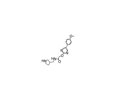 COc1ccc(-c2cnc(OCC(=O)NCC3CCNC3)nc2)cc1